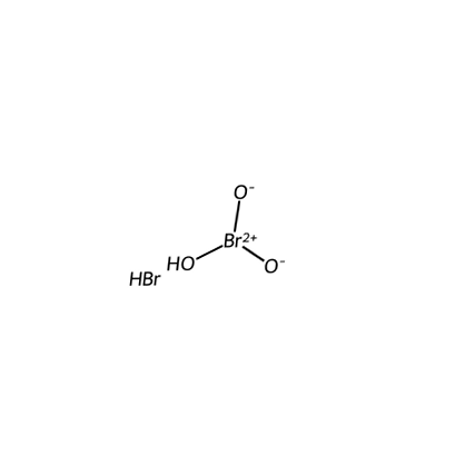 Br.[O-][Br+2]([O-])O